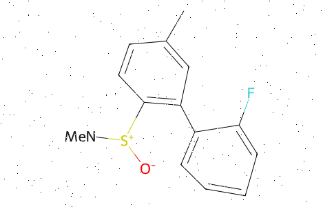 CN[S+]([O-])c1ccc(C)cc1-c1ccccc1F